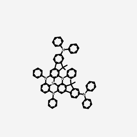 CC1(C)c2cc(N(c3ccccc3)c3ccccc3)ccc2-c2cc3c4c(c21)N(c1ccccc1)c1c2c(cc5c1[Si]4(C)c1c(cccc1N5c1ccccc1)N3c1ccccc1)-c1ccc(N(c3ccccc3)c3ccccc3)cc1C2(C)C